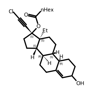 CCCCCCC(=O)O[C@@]1(C#CCl)CC[C@H]2[C@@H]3CCC4=CC(O)CC[C@@H]4[C@H]3CC[C@@]21CC